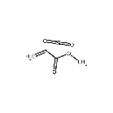 C=CC(=O)OC.O=[Si]=O